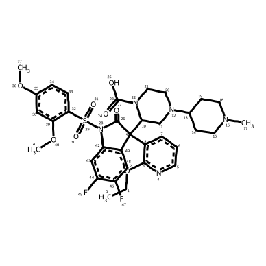 CCOc1ncccc1C1(C2CN(C3CCN(C)CC3)CCN2C(=O)O)C(=O)N(S(=O)(=O)c2ccc(OC)cc2OC)c2cc(F)c(F)cc21